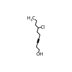 CCCC(Cl)CCC#CCCO